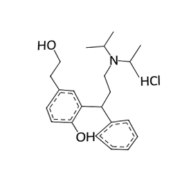 CC(C)N(CCC(c1ccccc1)c1cc(CCO)ccc1O)C(C)C.Cl